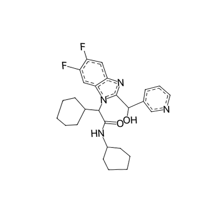 O=C(NC1CCCCC1)C(C1CCCCC1)n1c(C(O)c2cccnc2)nc2cc(F)c(F)cc21